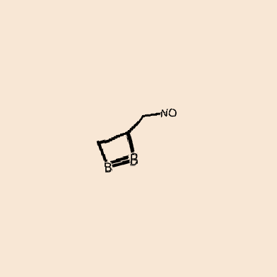 O=NCC1B=BC1